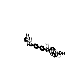 CC(C)[C@@H](C(=O)N1CCC[C@H]1c1ncc(-c2ccc(-c3ccc(-c4cnc([C@@H]5CCCN5)[nH]4)cc3)cc2)[nH]1)N(C)C(=O)O